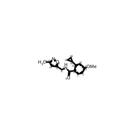 COc1ccc(C(=O)NCc2cc(C)no2)c(C2CC2)c1